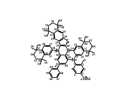 Cc1cc(C(C)(C)C)ccc1N1c2cc3c(cc2B2c4sc5cc6c(cc5c4N(c4ccc5c(c4)C(C)(C)CCC5(C)C)c4cc(-c5ccccc5)cc1c42)C(C)(C)CCC6(C)C)C(C)(C)CCC3(C)C